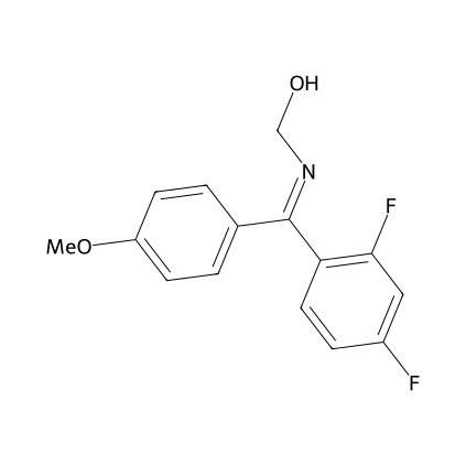 COc1ccc(/C(=N\CO)c2ccc(F)cc2F)cc1